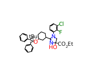 CCOC(=O)C1(O)CN(c2cccc(Cl)c2F)C(C2CCCC(O[Si](c3ccccc3)(c3ccccc3)C(C)(C)C)C2)=N1